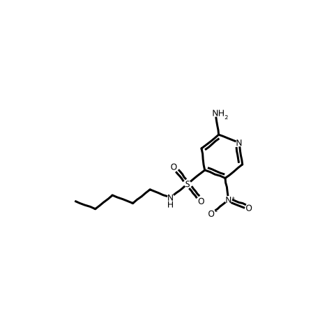 CCCCCNS(=O)(=O)c1cc(N)ncc1[N+](=O)[O-]